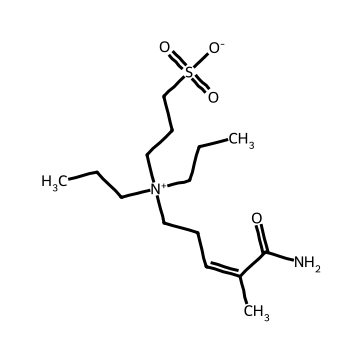 CCC[N+](CCC)(CCC=C(C)C(N)=O)CCCS(=O)(=O)[O-]